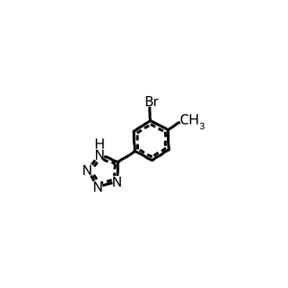 Cc1ccc(-c2nnn[nH]2)cc1Br